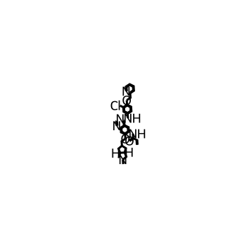 C=CC(=O)Nc1cc2c(Nc3ccc(OCc4ccccn4)c(Cl)c3)ncnc2cc1OCC1C[C@@H]2CN(C)C[C@@H]2C1